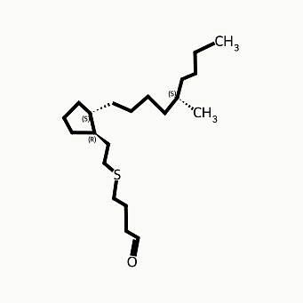 CCCC[C@H](C)CCCC[C@H]1CCC[C@@H]1CCSCCCC=O